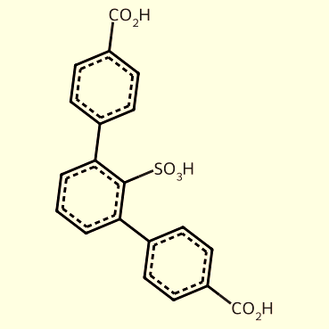 O=C(O)c1ccc(-c2cccc(-c3ccc(C(=O)O)cc3)c2S(=O)(=O)O)cc1